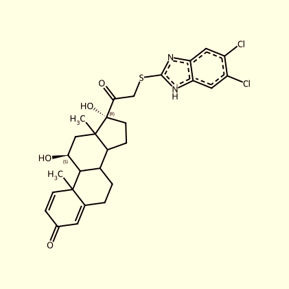 CC12C=CC(=O)C=C1CCC1C2[C@@H](O)CC2(C)C1CC[C@]2(O)C(=O)CSc1nc2cc(Cl)c(Cl)cc2[nH]1